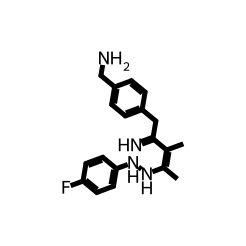 CC(NNc1ccc(F)cc1)=C(C)C(=N)Cc1ccc(CN)cc1